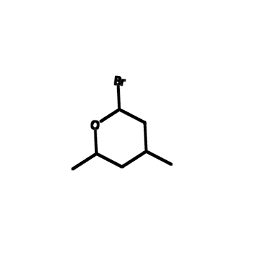 CC1CC(C)OC(Br)C1